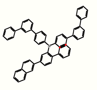 c1ccc(-c2cccc(-c3ccc(N(c4ccc(-c5cccc(-c6ccccc6)c5)cc4)c4cc(-c5ccc6ccccc6c5)ccc4-c4ccccc4)cc3)c2)cc1